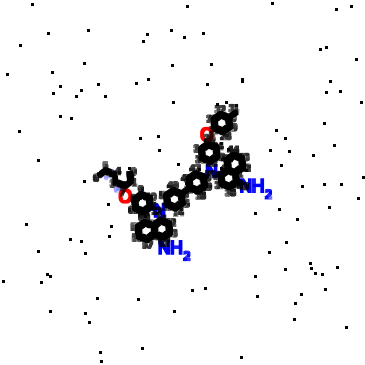 C=C/C(=C\C=C/C)Oc1ccc(N(c2ccc(-c3ccc(N(c4ccc(Oc5ccc(C)cc5)cc4)c4ccc(N)c5ccccc45)cc3)cc2)c2ccc(N)c3ccccc23)cc1